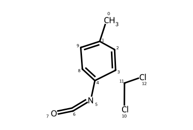 Cc1ccc(N=C=O)cc1.ClCCl